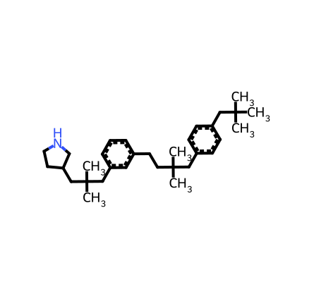 CC(C)(C)Cc1ccc(CC(C)(C)CCc2cccc(CC(C)(C)CC3CCNC3)c2)cc1